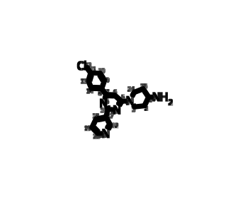 NC1CCN(c2cc(-c3ccc(Cl)cc3)nc(-c3cccnc3)n2)CC1